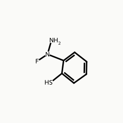 NN(F)c1ccccc1S